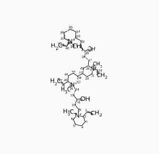 C=CC1CCCC[N+]1(C)CCC(O)CC[N+]1(C)CC(C2CC[N+](C)(C=C)C(CCC(O)CCC3CCCC[N+]3(C)C=C)C2)CCC1C=C